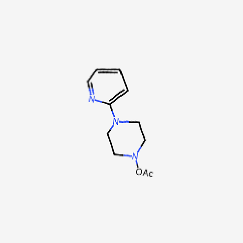 CC(=O)ON1CCN(c2ccccn2)CC1